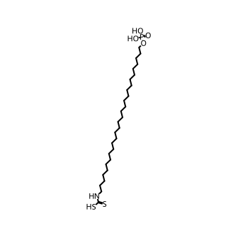 O=P(O)(O)OCCCCCCCCCCCCCCCCCCCCCCCCCCCCNC(=S)S